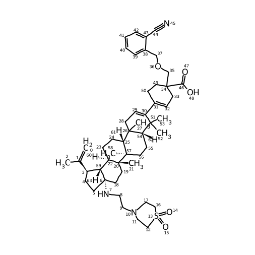 C=C(C)[C@@H]1CC[C@]2(NCCN3CCS(=O)(=O)CC3)CC[C@]3(C)[C@H](CC[C@@H]4C5(C)CC=C(C6=CCC(COCc7ccccc7C#N)(C(=O)O)CC6)C(C)(C)[C@@H]5CC[C@]43C)[C@@H]12